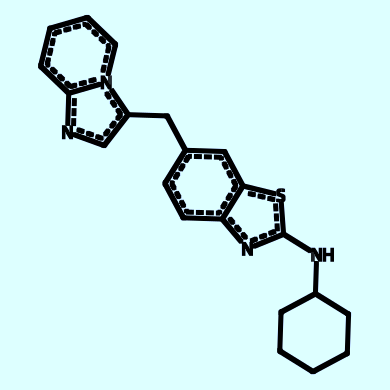 c1ccn2c(Cc3ccc4nc(NC5CCCCC5)sc4c3)cnc2c1